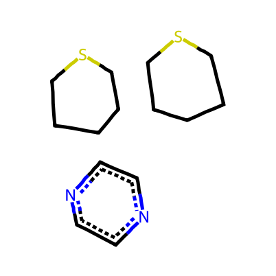 C1CCSCC1.C1CCSCC1.c1cnccn1